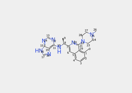 Cc1cccc2cc([C@H](C)Nc3ncnc4[nH]cnc34)nc(N3CCN(C)CC3)c12